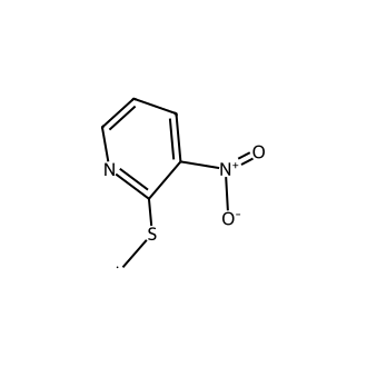 [CH2]Sc1ncccc1[N+](=O)[O-]